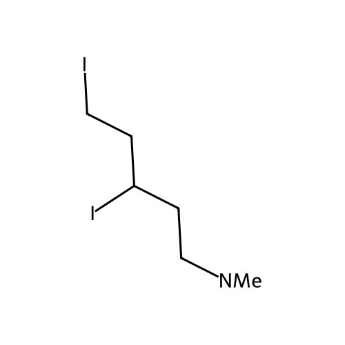 CNCCC(I)CCI